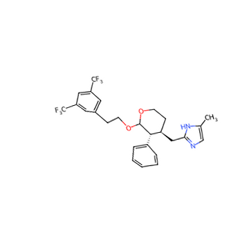 Cc1cnc(C[C@@H]2CCOC(OCCc3cc(C(F)(F)F)cc(C(F)(F)F)c3)[C@H]2c2ccccc2)[nH]1